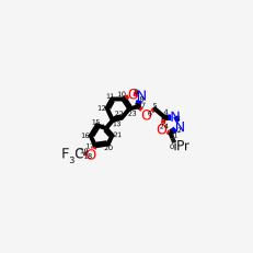 CC(C)c1nnc(COc2noc3ccc(-c4ccc(OC(F)(F)F)cc4)cc23)o1